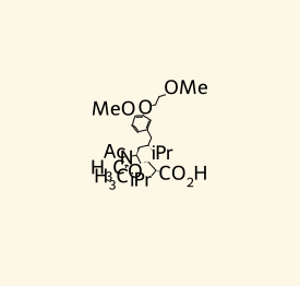 COCCCOc1cc(C[C@@H](C[C@H]2[C@H](C[C@H](C(=O)O)C(C)C)OC(C)(C)N2C(C)=O)C(C)C)ccc1OC